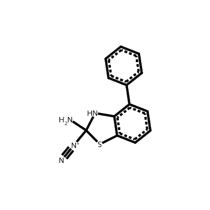 N#[N+]C1(N)Nc2c(cccc2-c2ccccc2)S1